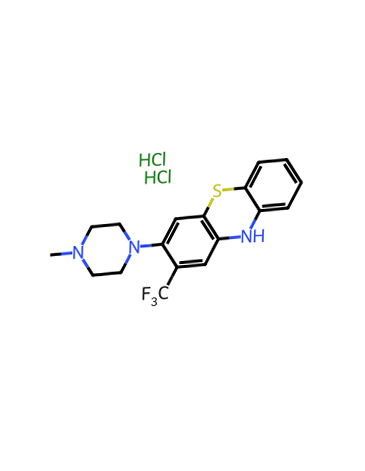 CN1CCN(c2cc3c(cc2C(F)(F)F)Nc2ccccc2S3)CC1.Cl.Cl